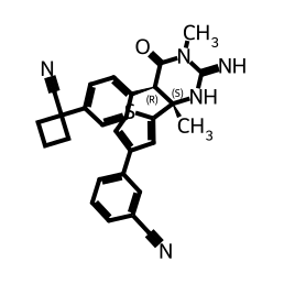 CN1C(=N)N[C@](C)(c2cc(-c3cccc(C#N)c3)cs2)[C@@H](c2ccc(C3(C#N)CCC3)cc2)C1=O